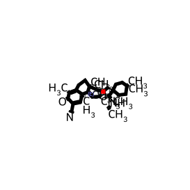 CCNC(=O)[C@]1(CCC(C)(C)[C@]2(C)CCC3=C(C)C(=O)C(C#N)=C[C@]3(C)/C2=C/C(C)=O)CCC(C)(C)CC1C